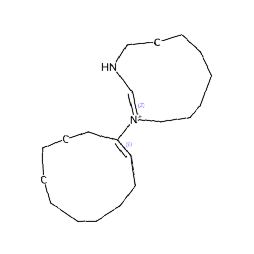 C1=[N+](\C2=C\CCCCCCCCC2)CCCCCCCCN/1